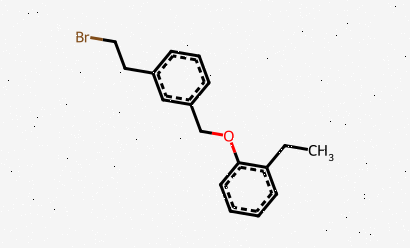 CCc1ccccc1OCc1cccc(CCBr)c1